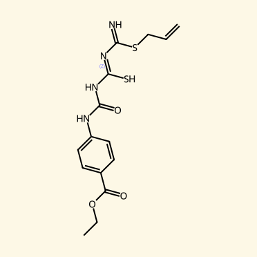 C=CCSC(=N)/N=C(\S)NC(=O)Nc1ccc(C(=O)OCC)cc1